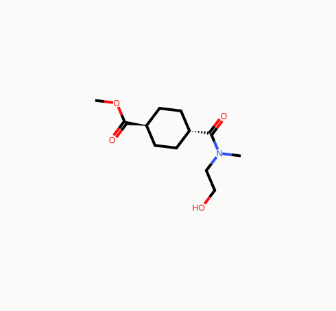 COC(=O)[C@H]1CC[C@H](C(=O)N(C)CCO)CC1